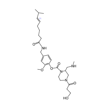 CNCC1CN(C(=O)CCO)CCN1C(=O)Oc1ccc(CNC(=O)CCCC/C=C/C(C)C)cc1OC